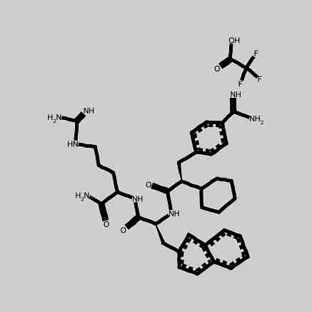 N=C(N)NCCCC(NC(=O)[C@H](Cc1ccc2ccccc2c1)NC(=O)[C@@H](Cc1ccc(C(=N)N)cc1)C1CCCCC1)C(N)=O.O=C(O)C(F)(F)F